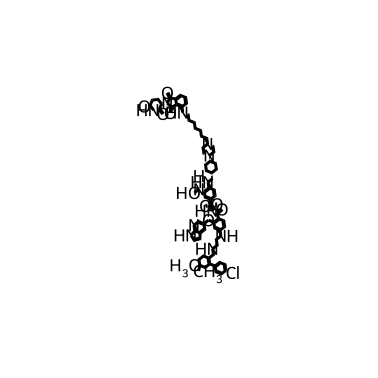 CC1(C)CCC(CNCCNc2ccc(C(=O)NS(=O)(=O)c3ccc(NC[C@H]4CC[C@@H](N5CCN(CCCCCCCNc6cccc7c6C(=O)N(C6CCC(=O)NC6=O)C7=O)CC5)CC4)c(NO)c3)c(Oc3cnc4[nH]ccc4c3)c2)=C(c2ccc(Cl)cc2)C1